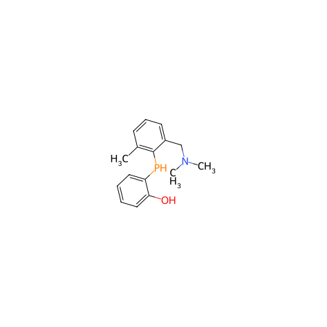 Cc1cccc(CN(C)C)c1Pc1ccccc1O